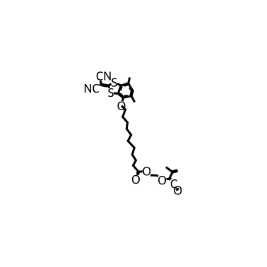 C=C(C)C(=C=O)OCCOC(=O)CCCCCCCCCCOc1c(C)cc(C)c2c1SC(=C(C#N)C#N)S2